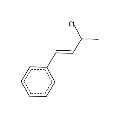 CC(Cl)/C=C/c1ccccc1